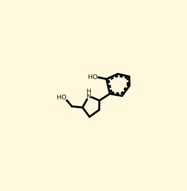 OCC1CCC(c2ccccc2O)N1